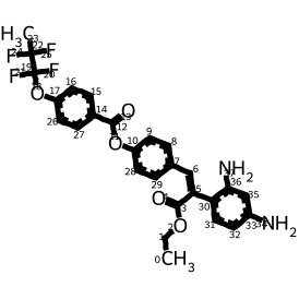 CCOC(=O)C(=Cc1ccc(OC(=O)c2ccc(OC(F)(F)C(C)(F)F)cc2)cc1)c1ccc(N)cc1N